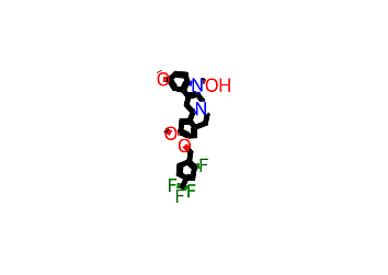 COc1ccc2c(c1)c1c(n2CO)CN2CCc3cc(OCc4ccc(C(F)(F)F)cc4F)c(OC)cc3C2C1